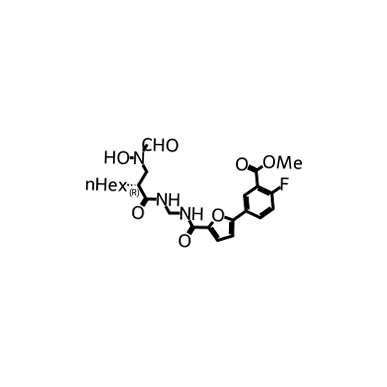 CCCCCC[C@H](CN(O)C=O)C(=O)NCNC(=O)c1ccc(-c2ccc(F)c(C(=O)OC)c2)o1